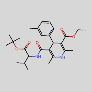 CCOC(=O)C1=C(C)NC(C)=C(C(=O)NC(C(=O)OC(C)(C)C)C(C)C)C1c1cccc(C)c1